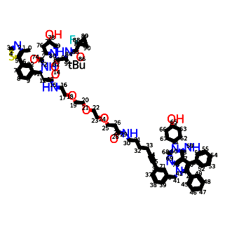 Cc1ncsc1-c1cccc([C@H](CC(=O)NCCOCCOCCOCCC(=O)NCCCCC#Cc2cccc(Cn3c(-c4ccccc4)c(-c4ccccc4)c4c(=N)n(C5CCC(O)CC5)cnc43)c2)NC(=O)[C@@H]2C[C@@H](O)CN2C(=O)C(NC(=O)C2(F)CC2)C(C)(C)C)c1